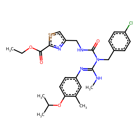 CCOC(=O)c1nc(CNC(=O)N(Cc2ccc(Cl)cc2)/C(=N/c2ccc(OC(C)C)c(C)c2)NC)cs1